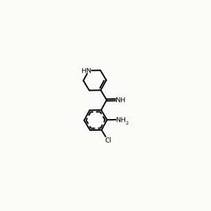 N=C(C1=CCNCC1)c1cccc(Cl)c1N